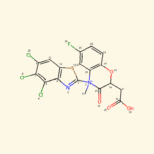 C[N+]1(c2nc3c(Cl)c(Cl)c(Cl)cc3s2)C(=O)C(CC(=O)O)Oc2ccc(F)cc21